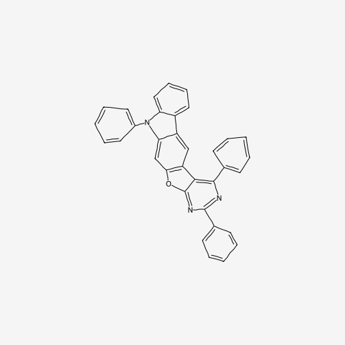 c1ccc(-c2nc(-c3ccccc3)c3c(n2)oc2cc4c(cc23)c2ccccc2n4-c2ccccc2)cc1